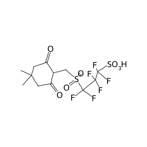 CC1(C)CC(=O)C(CS(=O)(=O)C(F)(F)C(F)(F)C(F)(F)S(=O)(=O)O)C(=O)C1